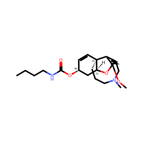 CCCCNC(=O)O[C@H]1C=C[C@@]23CCCN(C)Cc4ccc(OC)c(c42)O[C@H]3C1